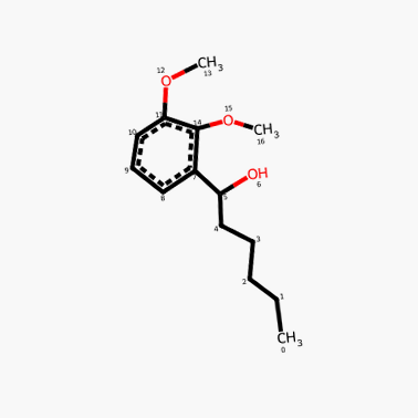 CCCCCC(O)c1cccc(OC)c1OC